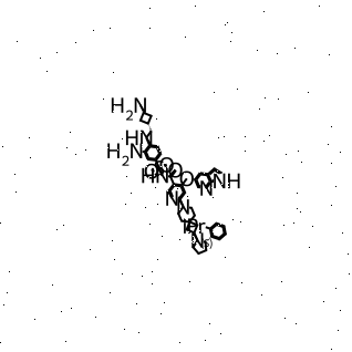 CC(C)c1ccccc1[C@@H]1CCCN1C1CC2(CCN(c3cc(Oc4cnc5[nH]ccc5c4)c(C(=O)NS(=O)(=O)c4ccc(NC[C@H]5C[C@H](N)C5)c(N)c4)cn3)CC2)C1